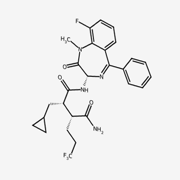 CN1C(=O)[C@@H](NC(=O)[C@@H](CC2CC2)[C@@H](CCC(F)(F)F)C(N)=O)N=C(c2ccccc2)c2cccc(F)c21